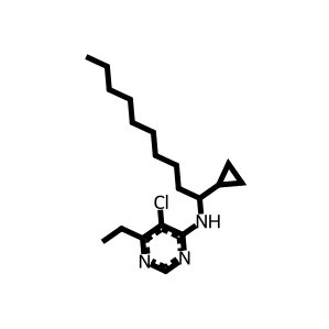 CCCCCCCCCC(Nc1ncnc(CC)c1Cl)C1CC1